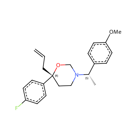 C=CC[C@]1(c2ccc(F)cc2)CCN([C@@H](C)c2ccc(OC)cc2)CO1